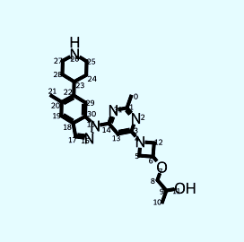 Cc1nc(N2CC(OCC(C)O)C2)cc(-n2ncc3cc(C)c(C4CCNCC4)cc32)n1